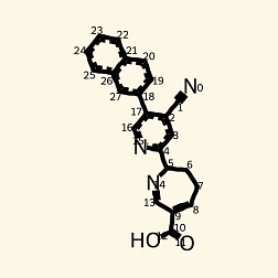 N#Cc1cc(C2CCC=C(C(=O)O)C=N2)ncc1-c1ccc2ccccc2c1